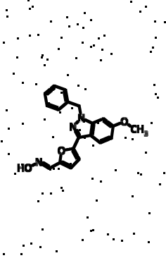 COc1ccc2c(-c3ccc(C=NO)o3)nn(Cc3ccccc3)c2c1